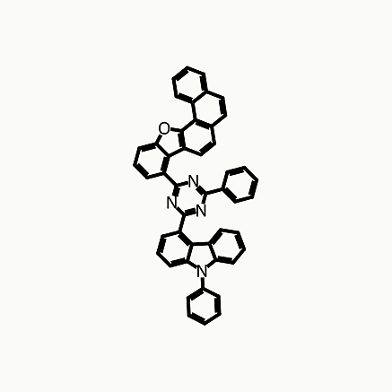 c1ccc(-c2nc(-c3cccc4oc5c(ccc6ccc7ccccc7c65)c34)nc(-c3cccc4c3c3ccccc3n4-c3ccccc3)n2)cc1